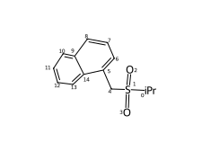 CC(C)S(=O)(=O)Cc1cccc2ccccc12